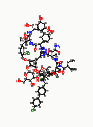 CN[C@H](CC(C)C)C(=O)N[C@H]1C(=O)N[C@@H](CC(N)=O)C(=O)N[C@H]2C(=N)N[C@H]3C(=O)N[C@H](C(=O)N[C@H](CO)C4=CC(O)CC(O)=C4C4CC3=CC=C4O)[C@H](O)C3=CC=C(Oc4cc2cc(c4O[C@H]2OC(CO)C(O)[C@H](O)C2O[C@H]2CC(C)(NCc4ccc(-c5ccc(Cl)cc5)cc4)[C@H](O)C(C)O2)OC2=C(Cl)C=C(CC2)[C@H]1O)C(Cl)C3